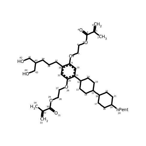 C=C(C)C(=O)OCCOc1cc(C2CCC(C3CCC(CCCCC)CC3)CC2)c(OCCOC(=O)C(=C)C)cc1CCCC(CO)CO